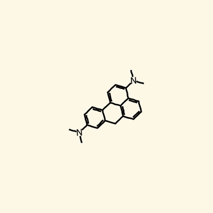 CN(C)c1ccc2c(c1)Cc1cccc3c(N(C)C)ccc-2c13